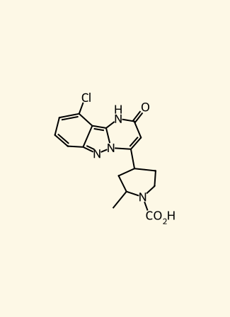 CC1CC(c2cc(=O)[nH]c3c4c(Cl)cccc4nn23)CCN1C(=O)O